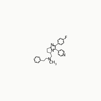 CN(CCc1ccccc1)CC1CCc2nc(-c3ccc(F)cc3)c(-c3ccncc3)n21